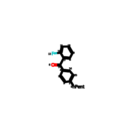 CCCCCc1ccc(C(=O)c2ccccc2F)cc1